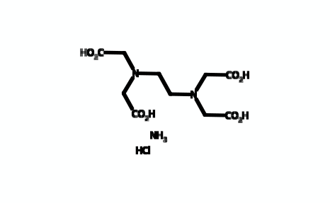 Cl.N.O=C(O)CN(CCN(CC(=O)O)CC(=O)O)CC(=O)O